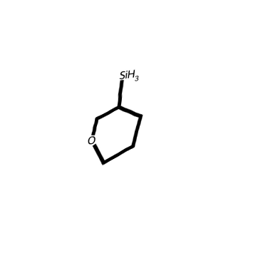 [SiH3]C1CCCOC1